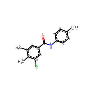 Cc1cc(C(=O)Nc2ccc(C(=O)O)cc2)cc(Br)c1C